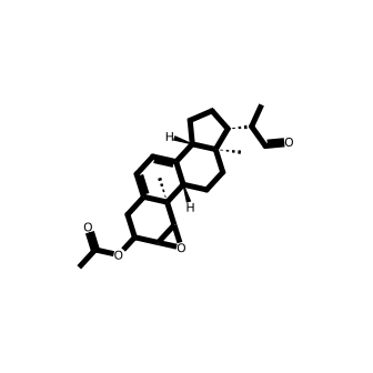 CC(=O)OC1CC2=CC=C3[C@@H]4CC[C@H](C(C)C=O)[C@@]4(C)CC[C@@H]3[C@@]2(C)C2OC12